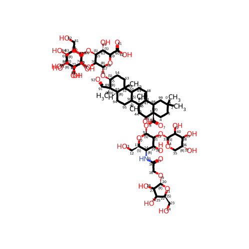 CC1(C)CC[C@]2(C(=O)O[C@@H]3O[C@H](CO)[C@H](NC(=O)CO[C@@H]4O[C@@H](CO)C(O)C4O)C(O)C3O[C@@H]3OC[C@@H](O)C(O)C3O)C(O)C[C@]3(C)C(=CCC4C5(C)CC[C@H](O[C@@H]6OC(C(=O)O)[C@@H](O)[C@H](O[C@@H]7OC[C@@H](O)[C@H](O)C7O)C6O[C@@H]6OC(CO)[C@H](O)[C@H](O)C6O)[C@](C)(C=O)[C@@H]5CC[C@@]43C)C2C1